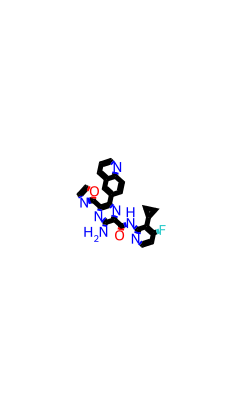 Nc1nc(-c2ncco2)c(-c2ccc3ncccc3c2)nc1C(=O)Nc1nccc(F)c1C1CC1